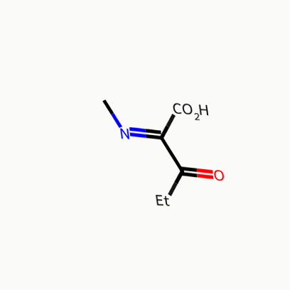 CCC(=O)/C(=N/C)C(=O)O